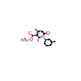 CCCCOC(=O)c1c(C)cc(=O)n(-c2cccc(C)c2)c1C